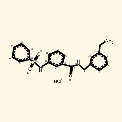 Cl.NCc1cccc(CNC(=O)c2cccc(NS(=O)(=O)c3ccccc3)c2)c1